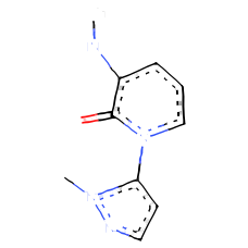 CC(C)Nc1cccn(-c2ccnn2C)c1=O